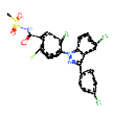 CS(=O)(=O)NC(=O)c1cc(Cl)c(-n2nc(-c3ccc(Cl)cc3)c3cc(Cl)ccc32)cc1F